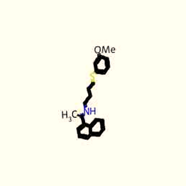 COc1cccc(SCCCCN[C@H](C)c2cccc3ccccc23)c1